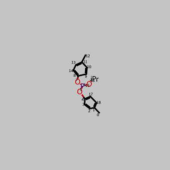 Cc1ccc(OP(Oc2ccc(C)cc2)OC(C)C)cc1